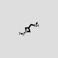 CNCC1CN(SF)C1